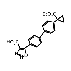 CCOC(=O)C1(c2ccc(-c3ccc(-c4onnc4C(=O)O)cc3)cc2)CC1